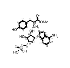 COC(=O)C(N)Cc1ccc(O)cc1.Nc1ncnc2c1ncn2[C@@H]1O[C@H](COP(=O)(O)O)[C@@H](O)[C@H]1O